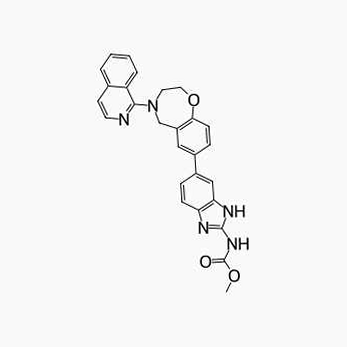 COC(=O)Nc1nc2ccc(-c3ccc4c(c3)CN(c3nccc5ccccc35)CCO4)cc2[nH]1